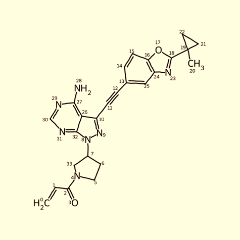 C=CC(=O)N1CCC(n2nc(C#Cc3ccc4oc(C5(C)CC5)nc4c3)c3c(N)ncnc32)C1